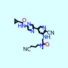 CN(CCCC#N)C(=O)CNc1cc(-c2cnc(NC(=O)C3CC3)cn2)cnc1C#N